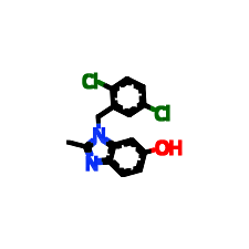 Cc1nc2ccc(O)cc2n1Cc1cc(Cl)ccc1Cl